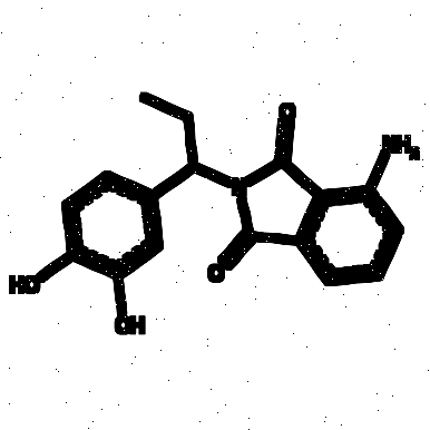 CCC(c1ccc(O)c(O)c1)N1C(=O)c2cccc(N)c2C1=O